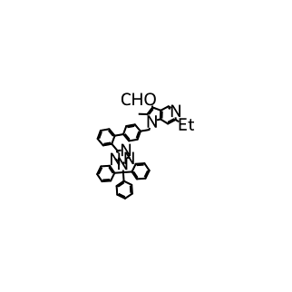 CCc1cc2c(cn1)c(C=O)c(C)n2Cc1ccc(-c2ccccc2-c2nnn(C(c3ccccc3)(c3ccccc3)c3ccccc3)n2)cc1